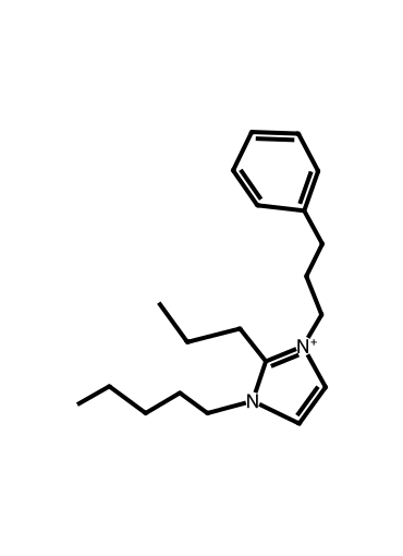 CCCCCn1cc[n+](CCCc2ccccc2)c1CCC